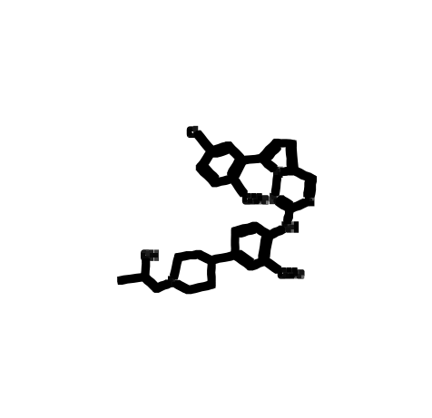 COc1cc(C2CCN(CC(C)O)CC2)ccc1Nc1ncc2ccc(-c3cc(Cl)ccc3OC)n2n1